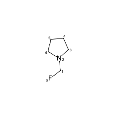 FCN1CCCC1